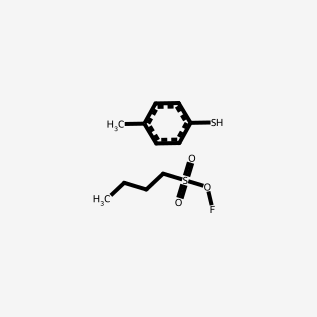 CCCCS(=O)(=O)OF.Cc1ccc(S)cc1